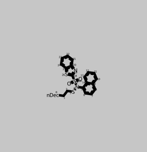 CCCCCCCCCCCCSN(c1cccc2ccccc12)S(=O)(=O)c1nc2ccccc2s1